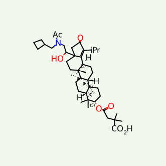 CC(=O)N(CC1CCC1)CC(O)C12CC[C@]3(C)[C@H](CC[C@@H]4[C@@]5(C)CC[C@H](OC(=O)CC(C)(C)C(=O)O)C(C)(C)[C@@H]5CC[C@]43C)C1=C(C(C)C)C(=O)C2